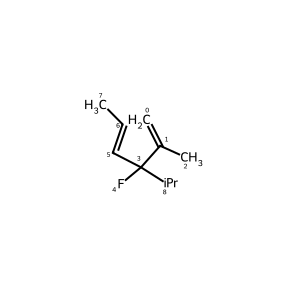 C=C(C)C(F)(/C=C/C)C(C)C